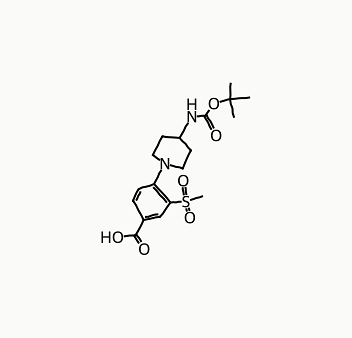 CC(C)(C)OC(=O)NC1CCN(c2ccc(C(=O)O)cc2S(C)(=O)=O)CC1